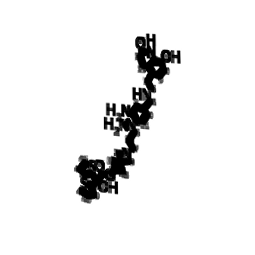 Nc1cc(CNCCc2ccc(O)c3[nH]c(=O)ccc23)ccc1N(N)CCCN1CC2(CC(OC(=O)C(O)(c3cccs3)c3cccs3)C2)C1